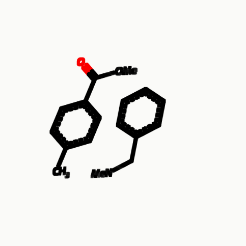 CNCc1ccccc1.COC(=O)c1ccc(C)cc1